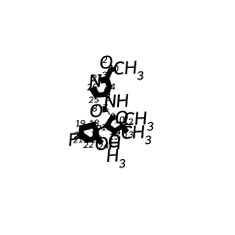 CC(=O)c1cc(NC(=O)[C@@H]2OC(C)(C)[C@@H](C)[C@H]2c2ccc(F)cc2O)ccn1